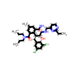 CCCN(CCC)C(=O)c1cc(C)cc(C(N)=O)c1[C@H](Cc1cc(F)cc(F)c1)[C@@H](O)CNCc1ccnc(CC)n1